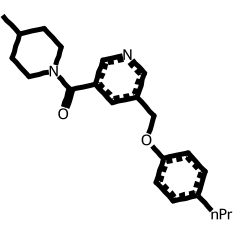 CCCc1ccc(OCc2cncc(C(=O)N3CCC(C)CC3)c2)cc1